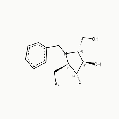 CC(=O)C[C@@H]1[C@@H](F)[C@H](O)[C@@H](CO)N1Cc1ccccc1